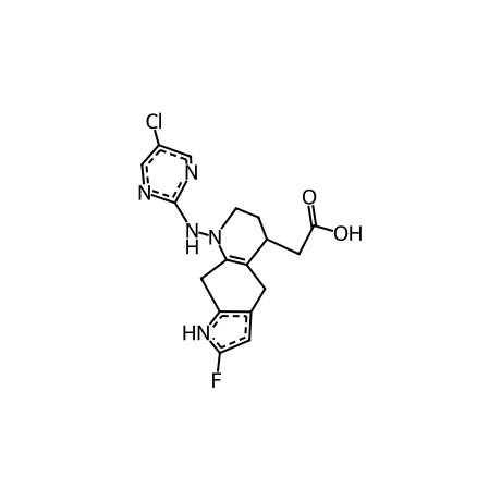 O=C(O)CC1CCN(Nc2ncc(Cl)cn2)C2=C1Cc1cc(F)[nH]c1C2